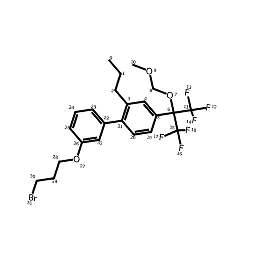 CCCc1cc(C(OCOC)(C(F)(F)F)C(F)(F)F)ccc1-c1cccc(OCCCBr)c1